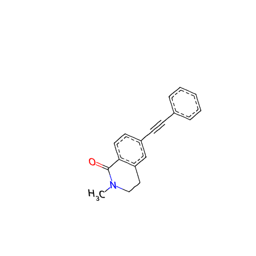 CN1CCc2cc(C#Cc3ccccc3)ccc2C1=O